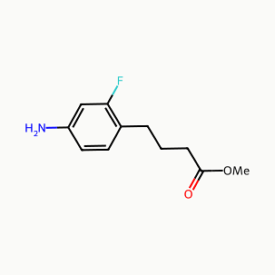 COC(=O)CCCc1ccc(N)cc1F